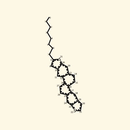 CCCCCCCCc1cc2cc3c(ccc4c5cc6ccsc6cc5ccc34)cc2s1